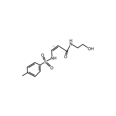 Cc1ccc(S(=O)(=O)N/C=C\C(=O)NCCO)cc1